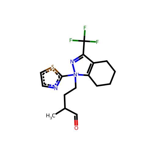 CC(C=O)CC[N+]1(c2nccs2)N=C(C(F)(F)F)C2=C1CCCC2